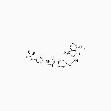 Cc1cccc(C)c1NC(=S)NC1C=C1c1ccc(C(=N)/N=C\Nc2ccc(OC(F)(F)F)cc2)cc1